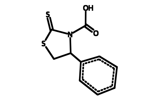 O=C(O)N1C(=S)SCC1c1ccccc1